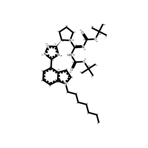 CCCCCCCn1ccc2c(-c3noc([C@@H]4CCCN4/C(=N\C(=O)OC(C)(C)C)NC(=O)OC(C)(C)C)n3)cccc21